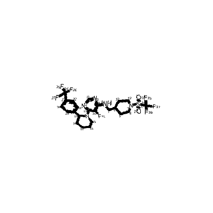 O=S(=O)(N1CCC(CNc2ncnc(N3CCCCC3c3ccc(C(F)(F)F)cc3)c2F)CC1)C(F)(F)F